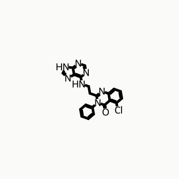 O=c1c2c(Cl)cccc2nc(CCNc2ncnc3[nH]cnc23)n1-c1ccccc1